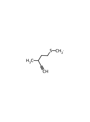 C#CC(C)CCS[CH2]